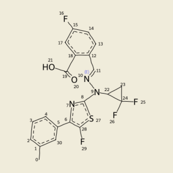 Cc1cccc(-c2nc(N(/N=C/c3ccc(F)cc3C(=O)O)C3CC3(F)F)sc2F)c1